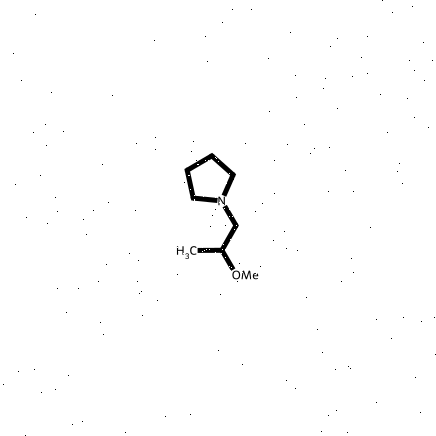 COC(C)CN1CCCC1